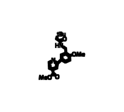 COC(=O)c1ccnc(-c2ccc(OC)c(CNC(=O)CC(C)(C)C)c2)c1